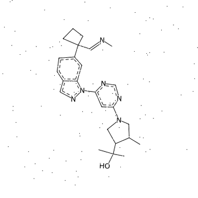 CN=CC1(c2ccc3cnn(-c4cc(N5CC(C)C(C(C)(C)O)C5)ncn4)c3c2)CCC1